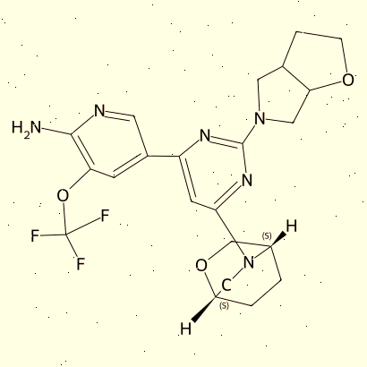 Nc1ncc(-c2cc(N3C[C@@H]4CC[C@H]3CO4)nc(N3CC4CCOC4C3)n2)cc1OC(F)(F)F